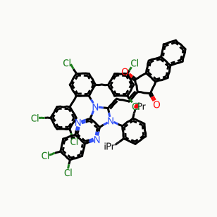 CC(C)c1cccc(C(C)C)c1N1/C(=C\C=C2C(=O)c3cc4ccccc4cc3C2=O)N(c2c(-c3cc(Cl)cc(Cl)c3)cc(Cl)cc2-c2cc(Cl)cc(Cl)c2)c2nc3cc(Cl)c(Cl)cc3nc21